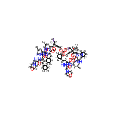 CC(C)C[C@H](NC(=O)[C@H](CCc1ccccc1)NC(=O)CN1CCOCC1)C(=O)N[C@@H](Cc1ccccc1)C(=O)N[C@@H](CC(C)C)C(=O)[C@](C)(C#CCOC(=O)OCC#C[C@](C)(CI)C(=O)[C@H](CC(C)C)NC(=O)[C@H](Cc1ccccc1)NC(=O)[C@H](CC(C)C)NC(=O)[C@H](CCc1ccccc1)NC(=O)CN1CCOCC1)CI